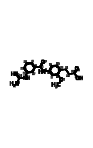 COc1cc(NC(=O)c2cccc(NC(=N)N)c2)ccc1CCC(=O)O